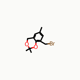 Cc1cc(CBr)c2c(c1)COC(C)(C)O2